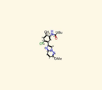 COc1ccc2nc(-c3cc(NC(=O)C(C)(C)C)c(C)cc3Cl)cn2n1